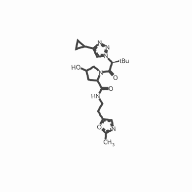 Cc1ncc(CCNC(=O)C2CC(O)CN2C(=O)[C@@H](n2cc(C3CC3)nn2)C(C)(C)C)o1